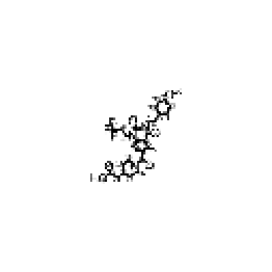 COc1ccc(CCn2c(=O)c3c(C)c(C(=O)N4CCC(CC(=O)O)CC4)sc3n(CCC(F)(F)F)c2=O)cc1